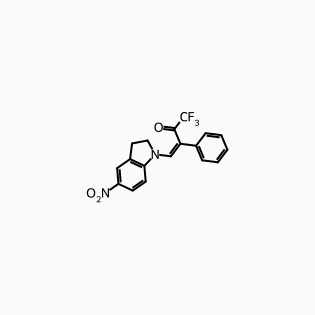 O=C(/C(=C\N1CCc2cc([N+](=O)[O-])ccc21)c1ccccc1)C(F)(F)F